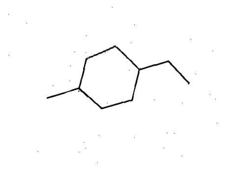 CCC1CC[C](C)CC1